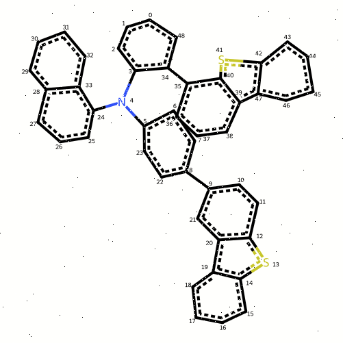 c1ccc(N(c2ccc(-c3ccc4sc5ccccc5c4c3)cc2)c2cccc3ccccc23)c(-c2cccc3c2sc2ccccc23)c1